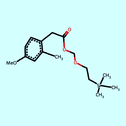 COc1ccc(CC(=O)OCOCC[Si](C)(C)C)c(C)c1